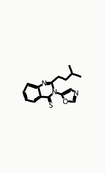 CC(C)CCc1nc2ccccc2c(=S)n1-c1cnco1